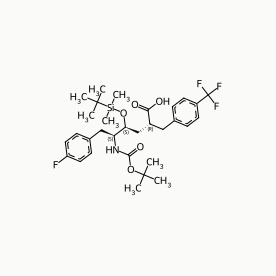 CC(C)(C)OC(=O)N[C@@H](Cc1ccc(F)cc1)[C@H](C[C@@H](Cc1ccc(C(F)(F)F)cc1)C(=O)O)O[Si](C)(C)C(C)(C)C